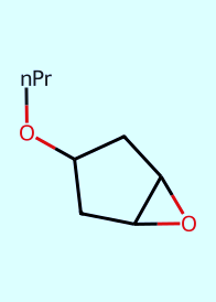 CCCOC1CC2OC2C1